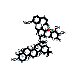 COc1ccc(/C=C\C(=O)OC2C(C)OC(OC(=O)[C@]34CCC(C)(C)C[C@H]3C3=CC[C@@H]5[C@@]6(C)CC[C@H](O)[C@@](C)(C=O)[C@@H]6CC[C@@]5(C)[C@]3(C)C[C@H]4O)C(OC3OC(C)C(O)C(O)C3O)C2OC(C)=O)cc1